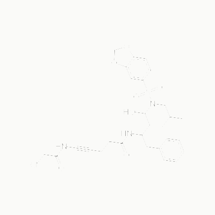 CC(C)CN(C(O)CC(Cc1ccccc1)NC(=O)CCC#CNC(=O)CCl)S(=O)(=O)c1ccc2c(c1)OCO2